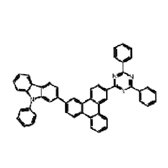 c1ccc(-c2nc(-c3ccccc3)nc(-c3ccc4c5cc(-c6ccc7c8ccccc8n(-c8ccccc8)c7c6)ccc5c5ccccc5c4c3)n2)cc1